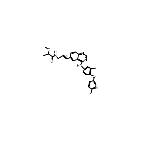 COC(C)C(=O)NC/C=C/c1ccc2ncnc(Nc3ccc(Oc4ccc(C)nc4)c(C)c3)c2c1